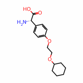 N[C@H](C(=O)O)c1ccc(OCCOC2CCCCC2)cc1